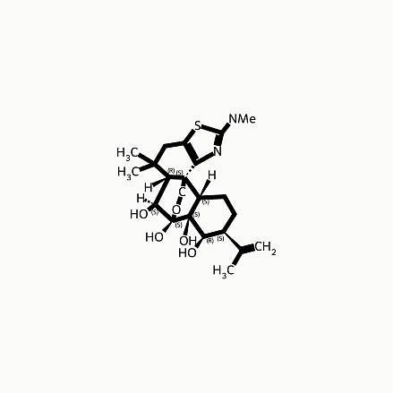 C=C(C)[C@@H]1CC[C@H]2[C@@]34CO[C@@](O)([C@@H](O)[C@@H]3C(C)(C)Cc3sc(NC)nc34)[C@@]2(O)[C@@H]1O